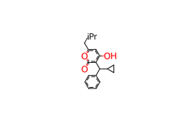 CC(C)Cc1cc(O)c(C(c2ccccc2)C2CC2)c(=O)o1